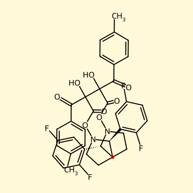 Cc1ccc(C(=O)C(O)(C(=O)ON2CCC[C@@H]2c2cc(F)ccc2F)C(O)(C(=O)ON2CCC[C@@H]2c2cc(F)ccc2F)C(=O)c2ccc(C)cc2)cc1